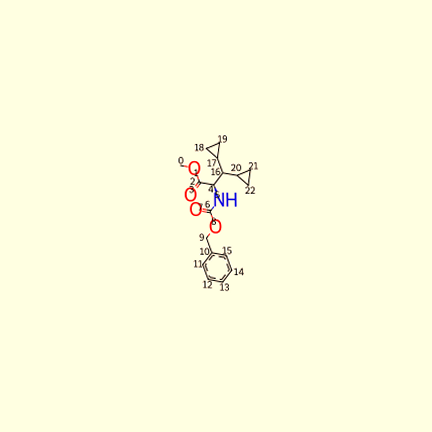 COC(=O)[C@H](NC(=O)OCc1ccccc1)C(C1CC1)C1CC1